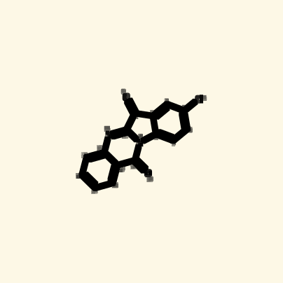 O=C1c2cc(Cl)ccc2-n2c1nc1ccccc1c2=O